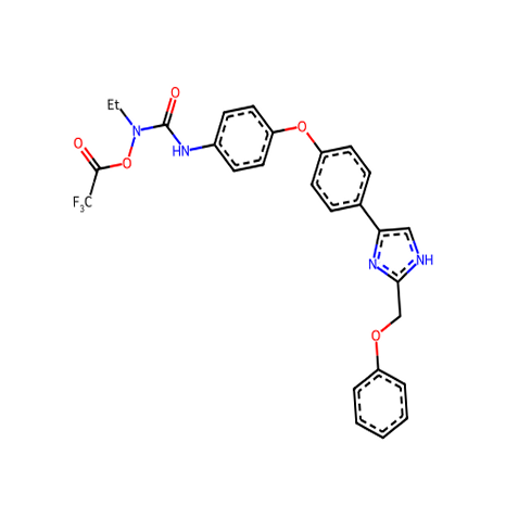 CCN(OC(=O)C(F)(F)F)C(=O)Nc1ccc(Oc2ccc(-c3c[nH]c(COc4ccccc4)n3)cc2)cc1